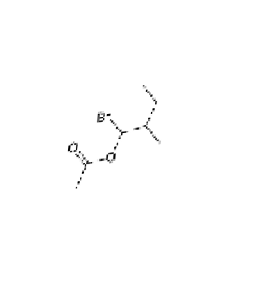 CCC(C)C(Br)OC(C)=O